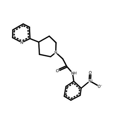 O=C(CN1CCC(c2ccccn2)CC1)Nc1ccccc1[N+](=O)[O-]